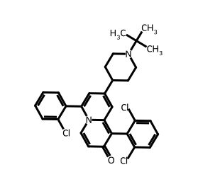 CC(C)(C)N1CCC(c2cc(-c3ccccc3Cl)n3ccc(=O)c(-c4c(Cl)cccc4Cl)c3c2)CC1